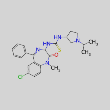 CC(C)N1CCC(NC(=S)NC2N=C(c3ccccc3)c3cc(Cl)ccc3N(C)C2=O)C1